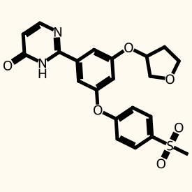 CS(=O)(=O)c1ccc(Oc2cc(OC3CCOC3)cc(-c3nccc(=O)[nH]3)c2)cc1